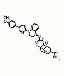 COc1ccc(-c2cnc(N3CCN(OC(=O)NC4[C@@H]5CC6C[C@H]4CC(C(N)=O)(C6)C5)c4ccccc43)nc2)cc1